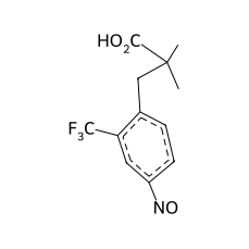 CC(C)(Cc1ccc(N=O)cc1C(F)(F)F)C(=O)O